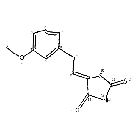 COc1cccc(CC=C2SC(=S)NC2=O)c1